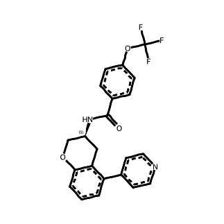 O=C(N[C@@H]1COc2cccc(-c3ccncc3)c2C1)c1ccc(OC(F)(F)F)cc1